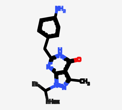 CCCCCCC(CC)n1nc(C)c2c(=O)[nH]c(Cc3ccc(N)cc3)nc21